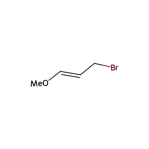 COC=CCBr